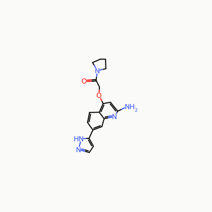 Nc1cc(OCC(=O)N2CCCC2)c2ccc(-c3ccn[nH]3)cc2n1